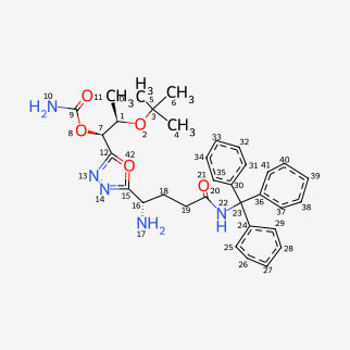 C[C@@H](OC(C)(C)C)[C@H](OC(N)=O)c1nnc([C@@H](N)CCC(=O)NC(c2ccccc2)(c2ccccc2)c2ccccc2)o1